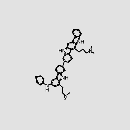 CN(C)CCCc1c2[nH]c3ccccc3c2cc2[nH]c3cc(-c4ccc5c(c4)[nH]c4c(CCN(C)C)cc(Nc6ccccc6)cc45)ccc3c12